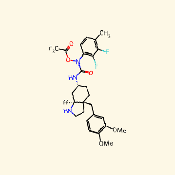 COc1ccc(C[C@@]23CCN[C@H]2C[C@H](NC(=O)N(OC(=O)C(F)(F)F)c2ccc(C)c(F)c2F)CC3)cc1OC